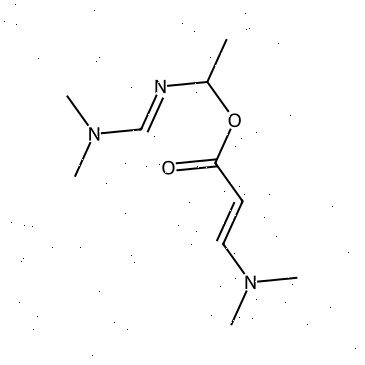 CC(N=CN(C)C)OC(=O)C=CN(C)C